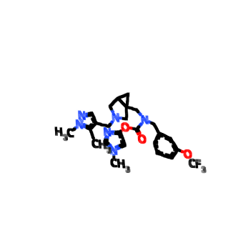 Cc1c(CN2CC3CC3(CN(Cc3cccc(OC(F)(F)F)c3)C(=O)Oc3cn(C)cn3)C2)cnn1C